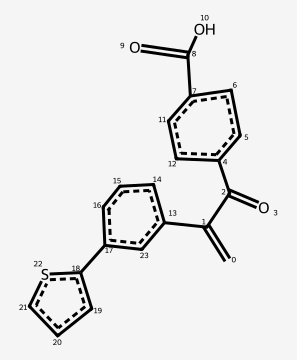 C=C(C(=O)c1ccc(C(=O)O)cc1)c1cccc(-c2cccs2)c1